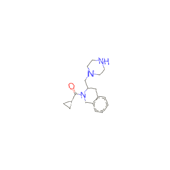 O=C(C1CC1)N1Cc2ccccc2CC1CN1CCNCC1